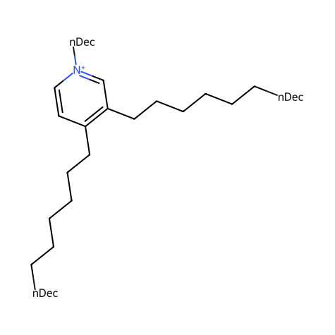 CCCCCCCCCCCCCCCCc1cc[n+](CCCCCCCCCC)cc1CCCCCCCCCCCCCCCC